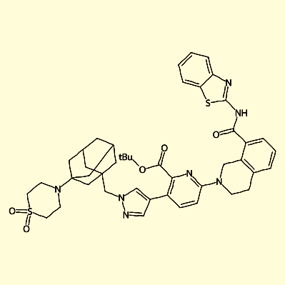 CC(C)(C)OC(=O)c1nc(N2CCc3cccc(C(=O)Nc4nc5ccccc5s4)c3C2)ccc1-c1cnn(CC23CC4CC(C2)CC(N2CCS(=O)(=O)CC2)(C4)C3)c1